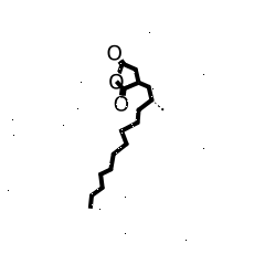 CCCCCCCCCC[C@@H](C)CC1CC(=O)OC1=O